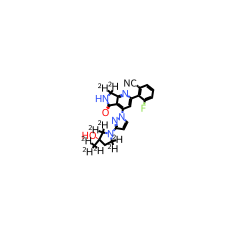 [2H]C1([2H])NC(=O)c2c(-n3ccc(N4C([2H])([2H])C[C@@](O)(C([2H])([2H])[2H])C4([2H])[2H])n3)cc(-c3c(F)cccc3C#N)nc21